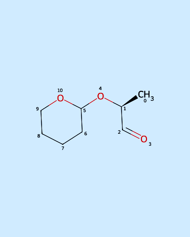 C[C@@H](C=O)OC1CCCCO1